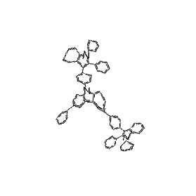 C1=Cc2c(c(-c3ccc(-n4c5ccc(-c6ccccc6)cc5c5cc(-c6ccc(-c7c(-c8ccccc8)n(-c8ccccc8)c8ccccc78)cc6)ccc54)cc3)c(-c3ccccc3)n2-c2ccccc2)CC1